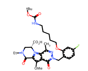 CCN1C[C@H](C(=O)O)n2c(c(OC)c3c(=O)n(Cc4ccc(F)cc4OCCCCCNC(=O)OC(C)(C)C)nc(C)c32)C1=O